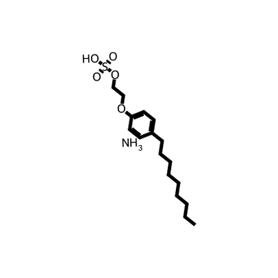 CCCCCCCCCc1ccc(OCCOS(=O)(=O)O)cc1.N